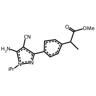 COC(=O)C(C)c1ccc(-c2nn(C(C)C)c(N)c2C#N)cc1